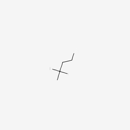 [CH2]CCCCC(C)(F)F